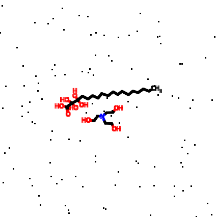 CCCCCCCCCCCCCCCC(O)(O)C(O)(O)C(=O)O.OCCN(CCO)CCO